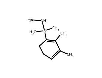 CC1=CCCC([Si](C)(C)NC(C)(C)C)=C1C